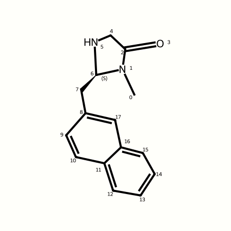 CN1C(=O)CN[C@@H]1Cc1ccc2ccccc2c1